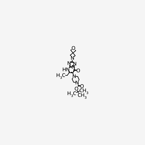 CCc1[nH]c2nc(N3CC4(COC4)C3)nn2c(=O)c1N1CCN(C(=O)OC(C)(C)C)CC1